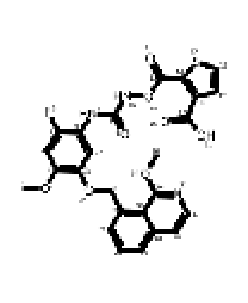 COc1cc(F)c(NC(=O)NOC(=O)c2sccc2C(=O)O)cc1OCc1cccc2ccnc(OC)c12